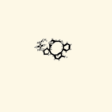 CNS(=O)(=O)N[C@H]1CC[C@@]2(Cc3ccc(F)c(c3)-c3ccccc3OCc3coc2n3)C1